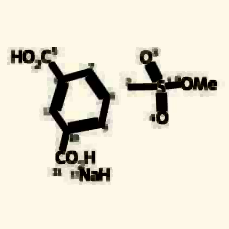 COS(C)(=O)=O.O=C(O)c1cccc(C(=O)O)c1.[NaH]